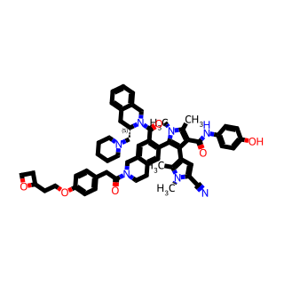 Cc1c(-c2c(C(=O)Nc3ccc(O)cc3)c(C)n(C)c2-c2cc3c(cc2C(=O)N2Cc4ccccc4C[C@H]2CN2CCCCC2)CN(C(=O)Cc2ccc(OCCC4CCO4)cc2)CC3)cc(C#N)n1C